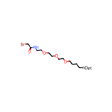 CCCCCCCCCCCCCCOCCOCCOCCNC(=O)CBr